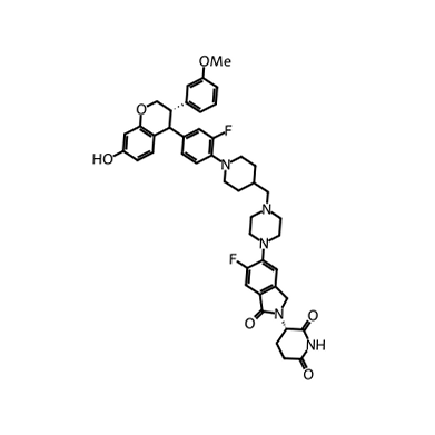 COc1cccc([C@H]2COc3cc(O)ccc3C2c2ccc(N3CCC(CN4CCN(c5cc6c(cc5F)C(=O)N([C@H]5CCC(=O)NC5=O)C6)CC4)CC3)c(F)c2)c1